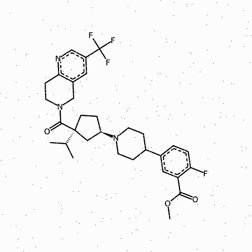 COC(=O)c1cc(C2CCN([C@@H]3CC[C@@](C(=O)N4CCc5ncc(C(F)(F)F)cc5C4)(C(C)C)C3)CC2)ccc1F